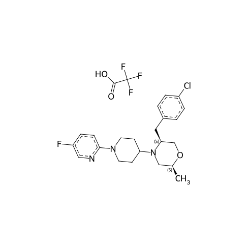 C[C@H]1CN(C2CCN(c3ccc(F)cn3)CC2)[C@@H](Cc2ccc(Cl)cc2)CO1.O=C(O)C(F)(F)F